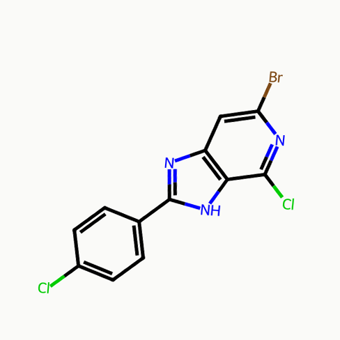 Clc1ccc(-c2nc3cc(Br)nc(Cl)c3[nH]2)cc1